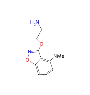 CNc1cccc2onc(OCCN)c12